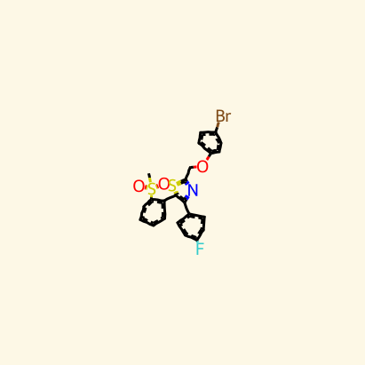 CS(=O)(=O)c1ccccc1-c1sc(COc2ccc(Br)cc2)nc1-c1ccc(F)cc1